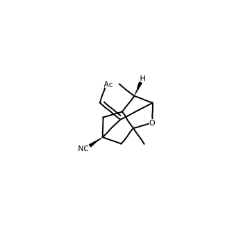 CC(=O)/C=C1\C2OC3(C)C[C@]1(C#N)CC3[C@@H]2C